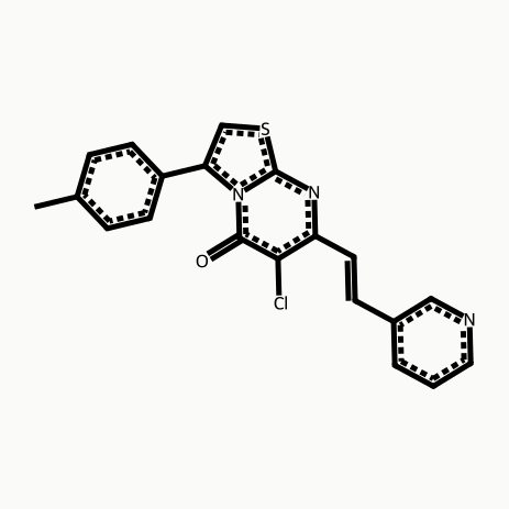 Cc1ccc(-c2csc3nc(/C=C/c4cccnc4)c(Cl)c(=O)n23)cc1